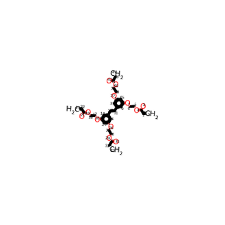 C=CC(=O)OCCOc1cc(/C=C/c2cc(OCCOC(=O)C=C)cc(OCCOC(=O)C=C)c2)cc(OCCOC(=O)C=C)c1